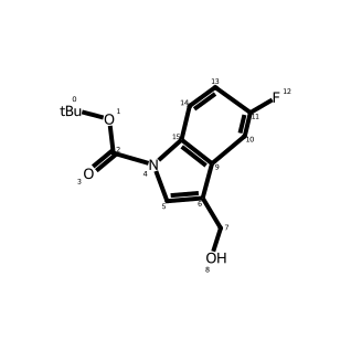 CC(C)(C)OC(=O)n1cc(CO)c2cc(F)ccc21